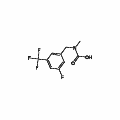 CN(Cc1cc(F)cc(C(F)(F)F)c1)C(=O)O